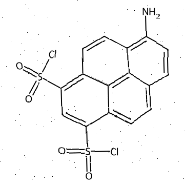 Nc1ccc2ccc3c(S(=O)(=O)Cl)cc(S(=O)(=O)Cl)c4ccc1c2c34